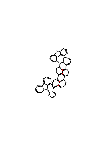 c1ccc(-c2ccc(-c3ccccc3N(c3ccc(-c4ccc(-c5ccccc5-n5c6ccccc6c6ccccc65)cc4)cc3)c3cccc4sc5ccccc5c34)cc2)cc1